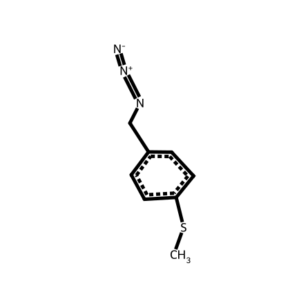 CSc1ccc(CN=[N+]=[N-])cc1